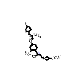 Cc1cc(OC[C@@H](C)Cc2ccc(F)cc2)ccc1/C(Cl)=C/CN1CC(C(=O)O)C1